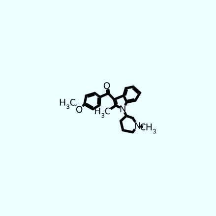 COc1ccc(C(=O)c2c(C)n(C3CCCN(C)C3)c3ccccc23)cc1